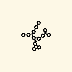 c1ccc(-c2ccc(-c3ccc(N(c4ccc(-c5ccccc5)cc4)c4ccc5c(c4)c4cc(-c6ccc(N(c7ccccc7)c7ccccc7)cc6)ccc4n5-c4ccc5c6ccccc6c6ccccc6c5c4)cc3)cc2)cc1